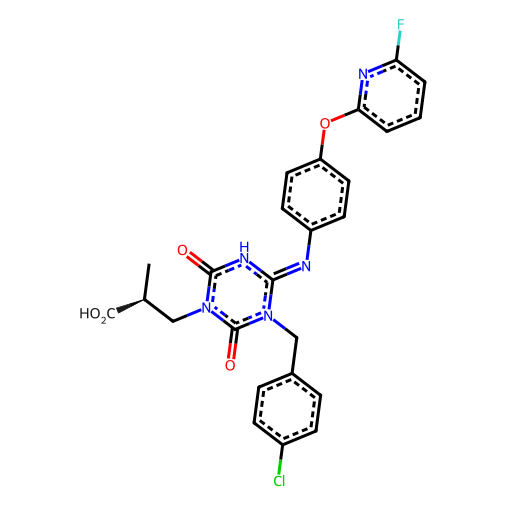 C[C@@H](Cn1c(=O)[nH]/c(=N\c2ccc(Oc3cccc(F)n3)cc2)n(Cc2ccc(Cl)cc2)c1=O)C(=O)O